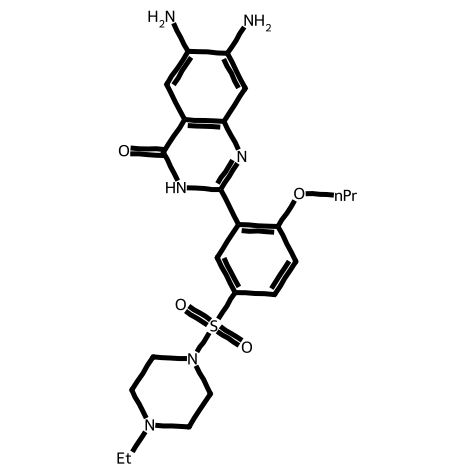 CCCOc1ccc(S(=O)(=O)N2CCN(CC)CC2)cc1-c1nc2cc(N)c(N)cc2c(=O)[nH]1